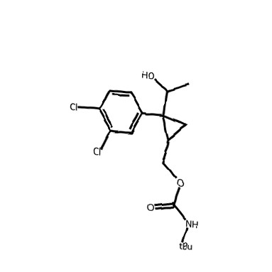 CC(O)C1(c2ccc(Cl)c(Cl)c2)CC1COC(=O)NC(C)(C)C